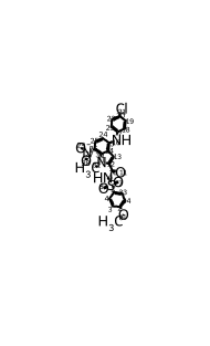 COc1ccc(S(=O)(=O)NC(=O)c2cc3c(Nc4ccc(Cl)cc4)ccc([N+](=O)[O-])c3n2C)cc1